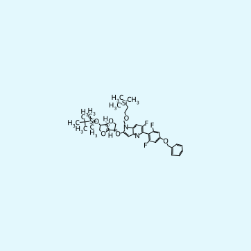 CC(C)(C)[Si](C)(C)OC1CO[C@H]2[C@@H]1OC[C@H]2Oc1cc2nc(-c3c(F)cc(OCc4ccccc4)cc3F)c(F)cc2n1COCC[Si](C)(C)C